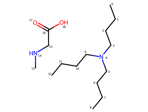 CCCCN(CCCC)CCCC.CNCC(=O)O